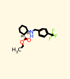 CCOC(=O)[C@@H]1CCCC[C@H]1NCc1ccc(C(F)(F)F)cc1